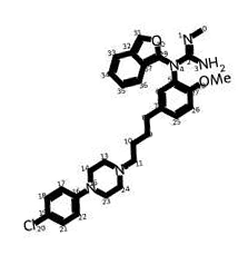 CN=C(N)N(c1cc(CCCCN2CCN(c3ccc(Cl)cc3)CC2)ccc1OC)c1occ2ccccc12